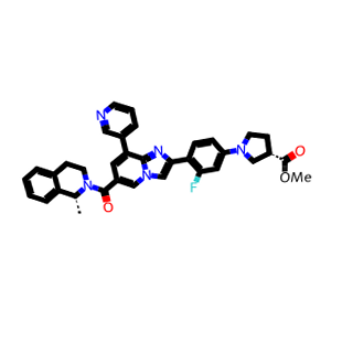 COC(=O)[C@H]1CCN(c2ccc(-c3cn4cc(C(=O)N5CCc6ccccc6[C@H]5C)cc(-c5cccnc5)c4n3)c(F)c2)C1